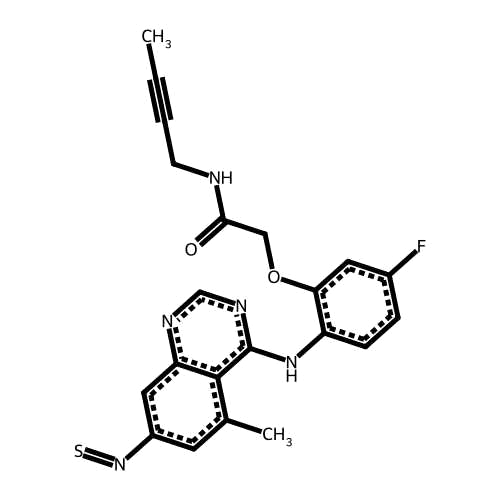 CC#CCNC(=O)COc1cc(F)ccc1Nc1ncnc2cc(N=S)cc(C)c12